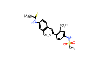 CNC(=S)Nc1ccc(C=Cc2ccc(NS(C)(=O)=O)cc2S(=O)(=O)O)c(S(=O)(=O)O)c1